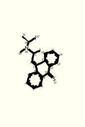 CC(C=C1c2ccccc2C(=S)c2ccccc21)N(C)[C@@H](C)I